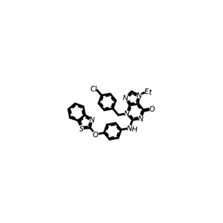 CCn1cnc2c1c(=O)nc(Nc1ccc(Oc3nc4ccccc4s3)cc1)n2Cc1ccc(Cl)cc1